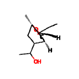 CC(O)C1C[C@]2(C)C[C@@H](C)[C@H]1CO2